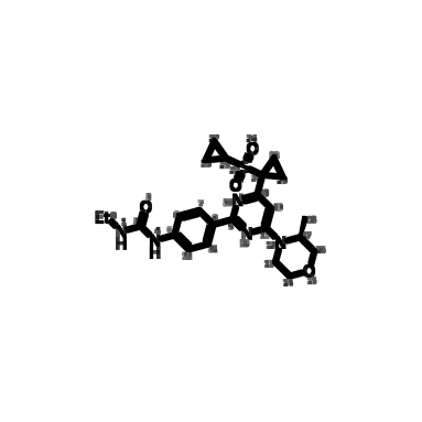 CCNC(=O)Nc1ccc(-c2nc(N3CCOC[C@@H]3C)cc(C3(S(=O)(=O)C4CC4)CC3)n2)cc1